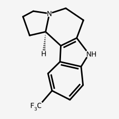 FC(F)(F)c1ccc2[nH]c3c(c2c1)[C@H]1CCCN1CC3